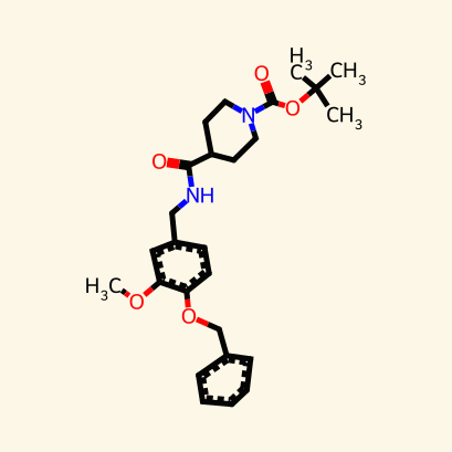 COc1cc(CNC(=O)C2CCN(C(=O)OC(C)(C)C)CC2)ccc1OCc1ccccc1